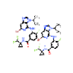 CC(C)n1cnc2cc(Br)nc(Nc3cc(C(=O)NC4(C(F)F)CC4)ccc3F)c21.CC(C)n1cnc2cc(Br)nc(Nc3cc(C(=O)NC4(C(F)F)CC4)ccc3F)c21